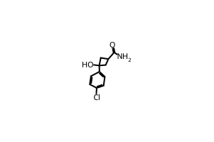 NC(=O)C1CC(O)(c2ccc(Cl)cc2)C1